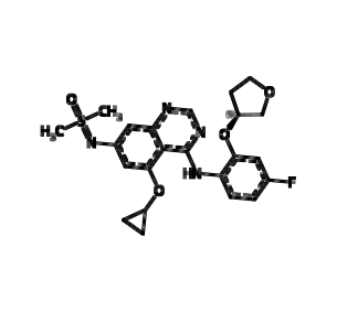 CS(C)(=O)=Nc1cc(OC2CC2)c2c(Nc3ccc(F)cc3O[C@H]3CCOC3)ncnc2c1